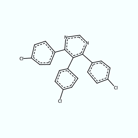 Clc1ccc(-c2ncnc(-c3ccc(Cl)cc3)c2-c2ccc(Cl)cc2)cc1